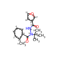 Cc1ccccc1C(=O)N(NC(=O)c1ccoc1)C(C)(C)C